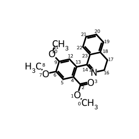 COC(=O)c1cc(OC)c(OC)cc1C1=NCCc2ccccc21